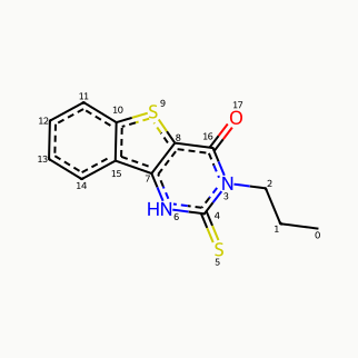 CCCn1c(=S)[nH]c2c(sc3ccccc32)c1=O